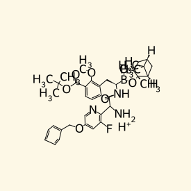 COc1c(C[C@H](NC(=O)C(N)c2ncc(OCc3ccccc3)cc2F)B2O[C@@H]3C[C@@H]4C[C@@H](C4(C)C)[C@]3(C)O2)cccc1C(=O)OC(C)(C)C.[H+]